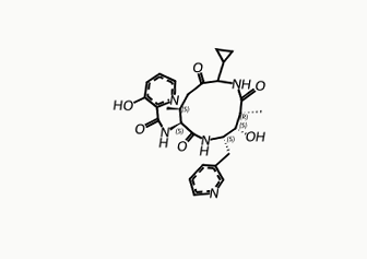 C[C@H]1CC(=O)C(C2CC2)NC(=O)[C@H](C)[C@H](O)[C@H](Cc2cccnc2)NC(=O)[C@H]1NC(=O)c1ncccc1O